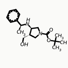 C[C@H](N[C@H]1CN(C(=O)OC(C)(C)C)C[C@@H]1CO)c1ccccc1